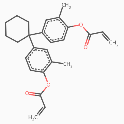 C=CC(=O)Oc1ccc(C2(c3ccc(OC(=O)C=C)c(C)c3)CCCCC2)cc1C